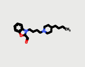 CCCCC1CCN(CCCCN2c3ccccc3OC2C=O)CC1